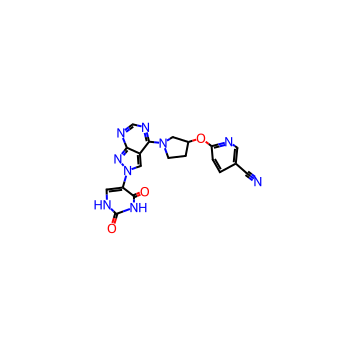 N#Cc1ccc(OC2CCN(c3ncnc4nn(-c5c[nH]c(=O)[nH]c5=O)cc34)C2)nc1